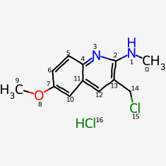 CNc1nc2ccc(OC)cc2cc1CCl.Cl